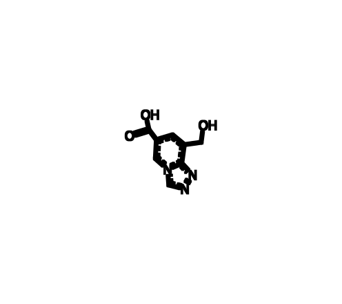 O=C(O)c1cc(CO)c2nncn2c1